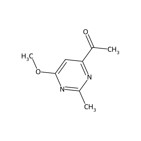 COc1cc(C(C)=O)nc(C)n1